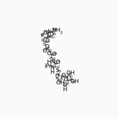 CC(C)N[C@H](CSCC1OCC(O)C[C@@H]1O[C@@H]1OC(CO)[C@@H](O)CC1O)C(=O)NCCC(=O)OCC(=O)OC[C@@H]1C[C@H](F)[C@H](n2ccc(N)nc2=O)O1